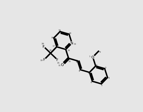 COc1ccccc1C=CC(=O)c1ncccc1C(F)(F)F